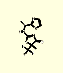 C[C@H](NC1=NC(=O)C(C)(C(F)(F)F)S1)c1nccs1